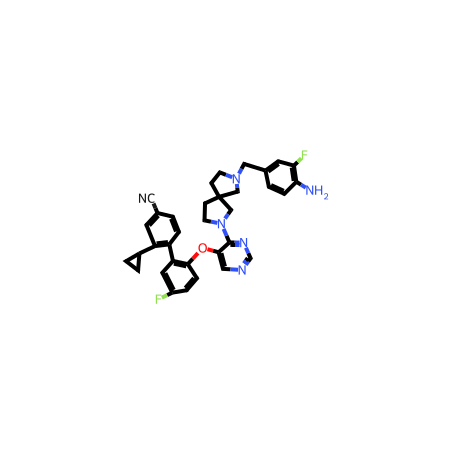 N#Cc1ccc(-c2cc(F)ccc2Oc2cncnc2N2CCC3(CCN(Cc4ccc(N)c(F)c4)C3)C2)c(C2CC2)c1